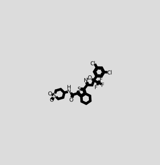 O=C(NC1CCS(=O)(=O)CC1)c1sc(C2=NOC(c3cc(Cl)cc(Cl)c3)(C(F)(F)F)C2)c2c1CCCC2